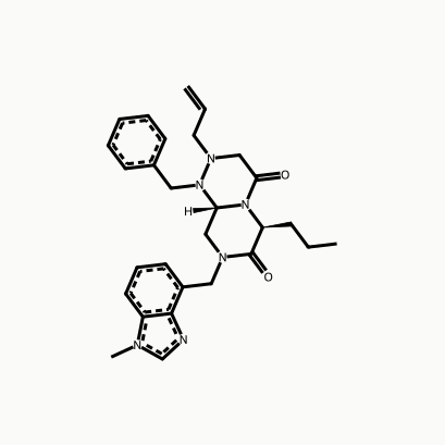 C=CCN1CC(=O)N2[C@@H](CCC)C(=O)N(Cc3cccc4c3ncn4C)C[C@@H]2N1Cc1ccccc1